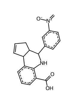 C=[N+]([O-])c1cccc(C2Nc3c(C(=O)O)cccc3C3C=CCC32)c1